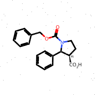 O=C(O)[C@@H]1CCN(C(=O)OCc2ccccc2)C1c1ccccc1